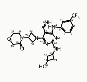 N=Cc1c(Nc2cccc(C(F)(F)F)c2)nc(NC2CC(O)C2)nc1N1CC(N2CCOCC2=O)C1